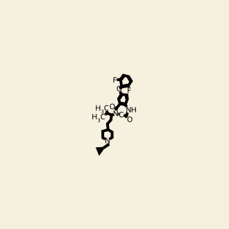 CC(C)C(CCC1CCN(CC2CC2)CC1)N1CC(=O)Nc2ccc(Oc3c(F)cccc3F)cc2C1=O